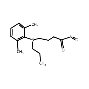 CCCN(CCCC(=O)N=O)c1c(C)cccc1C